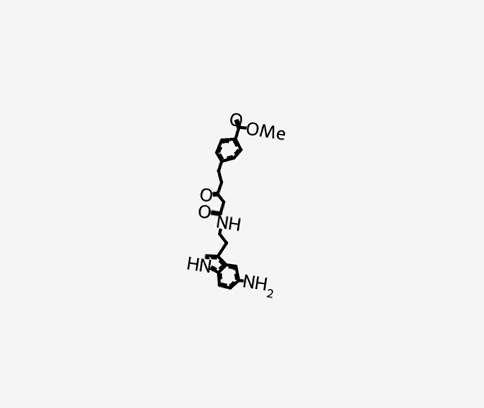 COC(=O)c1ccc(CCC(=O)CC(=O)NCCc2c[nH]c3ccc(N)cc23)cc1